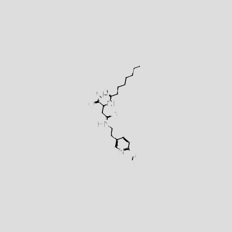 CCCCCCCC(=O)NC(CC(=O)NCCc1ccc(OC)nc1)C(N)=O